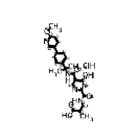 COc1ccc(-c2ccc(C(C)(C)NC(=O)c3cnc(C(=O)NC[C@@H](C)C(=O)O)nc3O)cc2)cn1.Cl